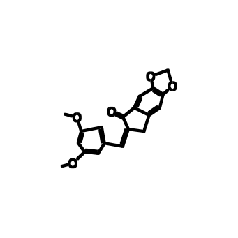 COc1cc(C=C2Cc3cc4c(cc3C2=O)OCO4)cc(OC)c1